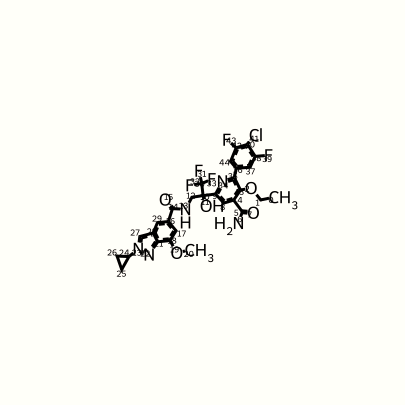 CCOc1c(C(N)=O)cc(C(O)(CNC(=O)c2cc(OC)c3nn(C4CC4)cc3c2)C(F)(F)F)nc1-c1cc(F)c(Cl)c(F)c1